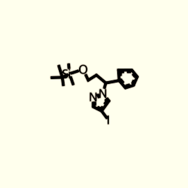 CC(C)(C)[Si](C)(C)OCCC(c1ccccc1)n1cc(I)cn1